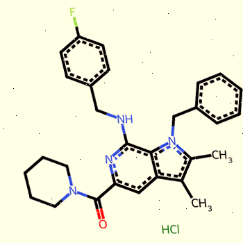 Cc1c(C)n(Cc2ccccc2)c2c(NCc3ccc(F)cc3)nc(C(=O)N3CCCCC3)cc12.Cl